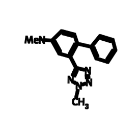 CNc1ccc(-c2ccccc2)c(-c2nnn(C)n2)c1